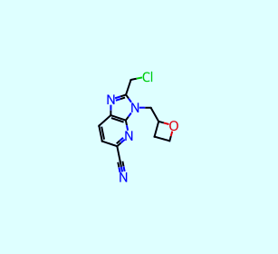 N#Cc1ccc2nc(CCl)n(CC3CCO3)c2n1